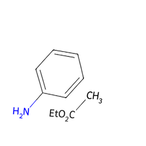 CCOC(C)=O.Nc1ccccc1